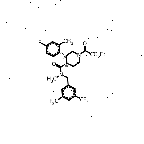 CCOC(=O)C(=O)N1CC[C@@H](C(=O)N(C)Cc2cc(C(F)(F)F)cc(C(F)(F)F)c2)[C@H](c2ccc(F)cc2C)C1